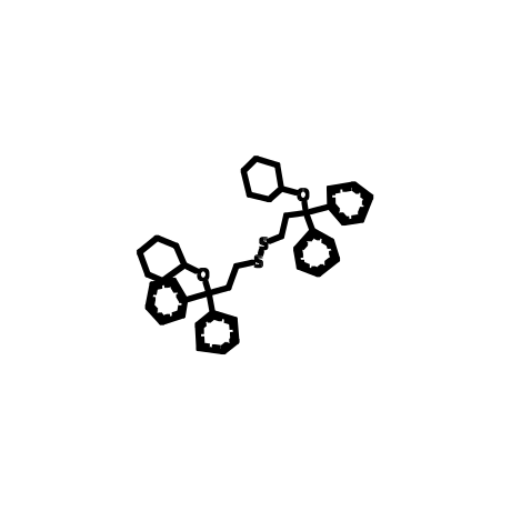 c1ccc(C(CCSSCCC(OC2CCCCC2)(c2ccccc2)c2ccccc2)(OC2CCCCC2)c2ccccc2)cc1